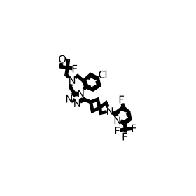 Fc1ccc(C(F)(F)F)nc1N1CC2(CC(c3nnc4n3-c3ccc(Cl)cc3CN(CC3(F)COC3)C4)C2)C1